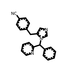 N#Cc1ccc(Cc2cncn2C(c2ccccc2)c2ccccn2)cc1